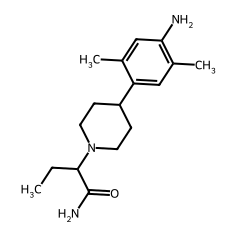 CCC(C(N)=O)N1CCC(c2cc(C)c(N)cc2C)CC1